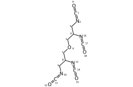 O=C=NCC(COCC(CN=C=O)N=C=O)N=C=O